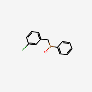 [O-][S+](Cc1cccc(F)c1)c1ccccc1